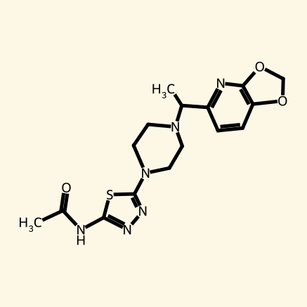 CC(=O)Nc1nnc(N2CCN(C(C)c3ccc4c(n3)OCO4)CC2)s1